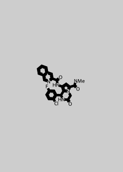 CNC(=O)c1cc(NC(=O)c2cc3ccccc3cn2)c2n1CC(=O)NC2c1cc(F)ccc1Cl